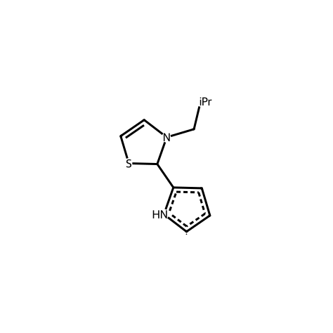 CC(C)CN1C=CSC1c1cc[c][nH]1